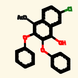 CC(=O)Oc1c(Oc2ccccc2)c(Oc2ccccc2)c(O)c2cc(Cl)ccc12